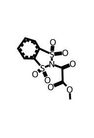 COC(=O)C(=O)N1S(=O)(=O)c2ccccc2S1(=O)=O